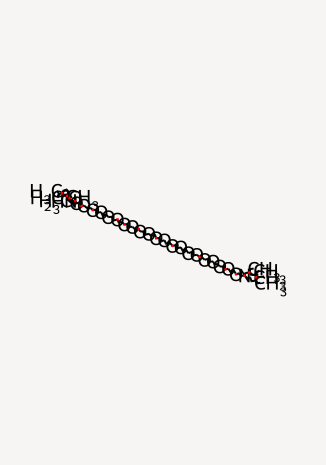 C=C(C)c1cccc(C(C)(C)NC(=O)OCCOCCOCCOCCOCCOCCOCCOCCOCCOCCOCCOCCOCCOCCOCCOCCOCCOCCOCCOCCOCCN(CCCC(CC)CC)CC(CC)CCCC)c1